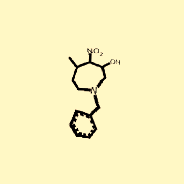 CC1CCN(Cc2ccccc2)CC(O)C1[N+](=O)[O-]